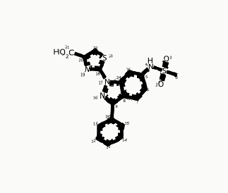 CS(=O)(=O)Nc1ccc2c(-c3ccccc3)nn(-c3nc(C(=O)O)cs3)c2c1